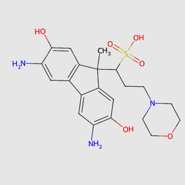 CC1(C(CCN2CCOCC2)S(=O)(=O)O)c2cc(O)c(N)cc2-c2cc(N)c(O)cc21